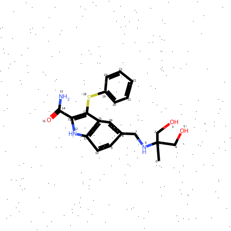 CC(CO)(CO)NCc1ccc2[nH]c(C(N)=O)c(Sc3ccccc3)c2c1